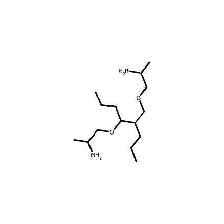 CCCC(COCC(C)N)C(CCC)OCC(C)N